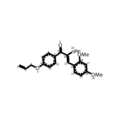 C=CCOc1ccc(C(=O)C(=Cc2ccc(OC)cc2OC)CCC)cc1